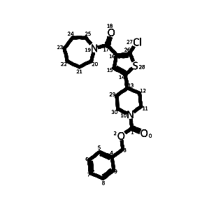 O=C(OCc1ccccc1)N1CCC(c2cc(C(=O)N3CCCCCC3)c(Cl)s2)CC1